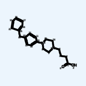 O=C(O)CCCN1CCN(c2ccc(Cc3ccccc3)cc2)CC1